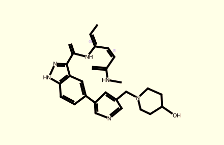 C=C(/C=C\C(=C/C)NC(=C)c1n[nH]c2ccc(-c3cncc(CN4CCC(O)CC4)c3)cc12)NC